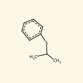 CC(C)Sc1cc[c]cc1